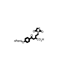 CCCCCOc1ccc(C(=O)CC(CCN2C(=O)CSC2=O)C(=O)O)cc1